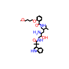 COCCCCOc1ccccc1C(=O)NCC(CC(N)C(O)CNC(=O)C(C)(C)c1c[nH]c2ccccc12)C(C)C